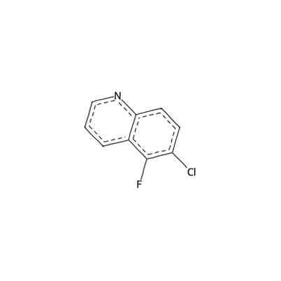 Fc1c(Cl)ccc2ncccc12